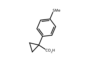 CSc1ccc(C2(C(=O)O)CC2)cc1